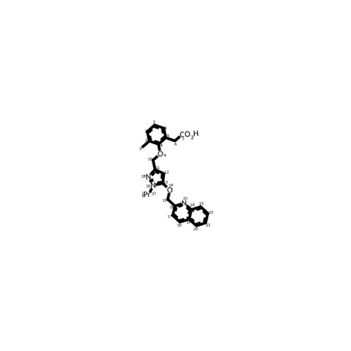 Cc1cccc(CC(=O)O)c1OCc1cc(OCc2ccc3ccccc3n2)n(C(C)C)n1